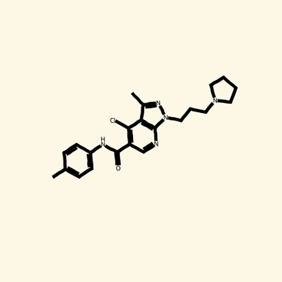 Cc1ccc(NC(=O)c2cnc3c(c(C)nn3CCCN3CCCC3)c2Cl)cc1